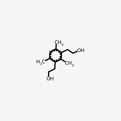 Cc1cc(C)c(CCO)c(C)c1CCO